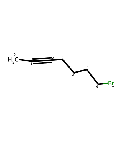 CC#CCCCCBr